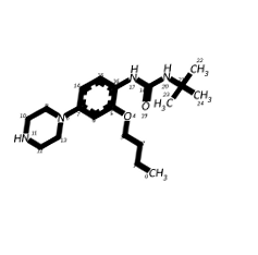 CCCCOc1cc(N2CCNCC2)ccc1NC(=O)NC(C)(C)C